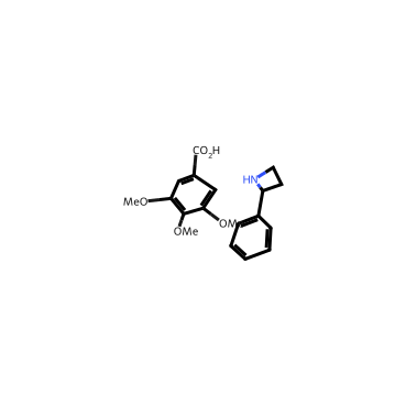 COc1cc(C(=O)O)cc(OC)c1OC.c1ccc(C2CCN2)cc1